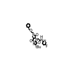 CC(C)(C)c1cc2n(CC(=O)Nc3ccc(F)cn3)c3c(c(=O)n2n1)CN(CCOCc1ccccc1)C3=O